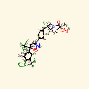 CC(C)(O)C(=O)N1CC(F)(c2ccc(C3=NOC(c4ccc(Cl)c(C(F)(F)F)c4)(C(F)(F)F)C3)cc2)C1